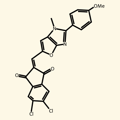 COc1ccc(-c2nc3oc(C=C4C(=O)c5cc(Cl)c(Cl)cc5C4=O)cc3n2C)cc1